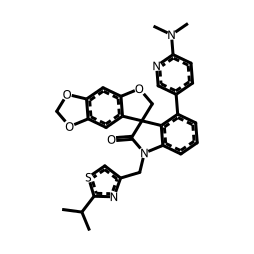 CC(C)c1nc(CN2C(=O)C3(COc4cc5c(cc43)OCO5)c3c(-c4ccc(N(C)C)nc4)cccc32)cs1